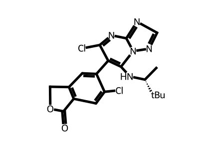 C[C@@H](Nc1c(-c2cc3c(cc2Cl)C(=O)OC3)c(Cl)nc2ncnn12)C(C)(C)C